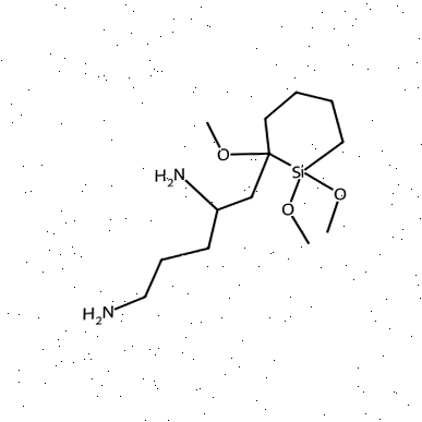 COC1(CC(N)CCCN)CCCC[Si]1(OC)OC